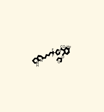 O=C(O)C(c1cc(F)ccc1CO[C@@H]1CCOC1)N1CC[C@@H](C(F)(F)CCCCc2ccc3c(n2)NCCC3)C1